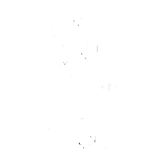 [2H]C1([2H])c2ncccc2C(=O)N1Cc1ccc(-c2cccc3nn(C)cc23)cc1C(C)C